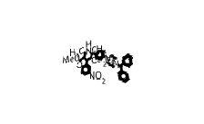 CCOC(=O)C1C(c2cccc([N+](=O)[O-])c2)C(C(=O)OC)=C(C)NC1(C)c1ccc(N2CCN(C(c3ccccc3)c3ccccc3)CC2)cc1